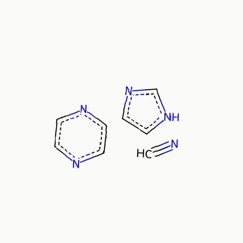 C#N.c1c[nH]cn1.c1cnccn1